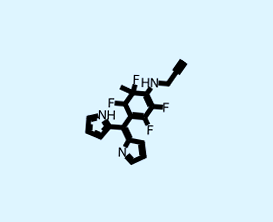 C#CCNC1=C(F)C(F)=C(/C(=C2\C=CC=N2)c2ccc[nH]2)C(F)C1(C)F